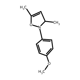 COc1ccc(N2OC(C)=CC2C)cc1